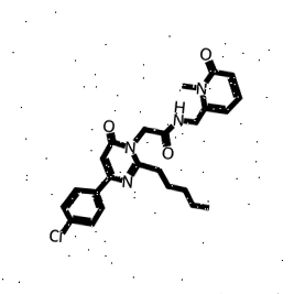 CCCCCc1nc(-c2ccc(Cl)cc2)cc(=O)n1CC(=O)NCc1cccc(=O)n1C